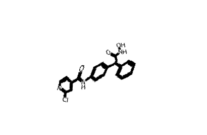 O=C(Nc1ccc(C(C(=O)NO)c2ccccc2)cc1)c1ccnc(Cl)c1